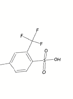 O=S(=O)(O)c1ccc(F)cc1C(F)(F)F